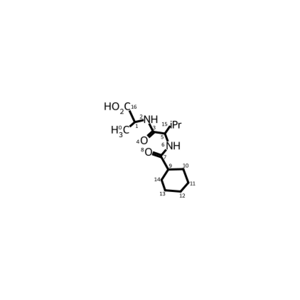 CC(NC(=O)C(NC(=O)C1CCCCC1)C(C)C)C(=O)O